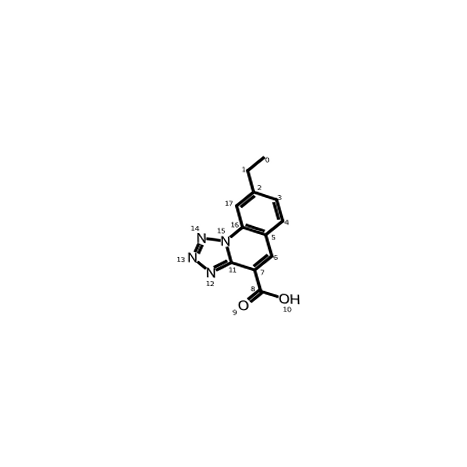 CCc1ccc2cc(C(=O)O)c3nnnn3c2c1